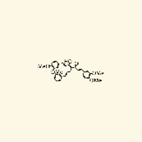 COc1ccc(/C=C/C(=O)/C(C/C=C/c2ccccc2)=C(O)/C=C/c2ccc(OC)c(OC)c2)cc1OC